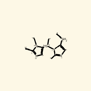 C[SiH2]c1cnc(C)n1[SiH](C)c1cnc(C)n1C